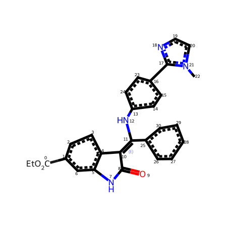 CCOC(=O)c1ccc2c(c1)NC(=O)/C2=C(/Nc1ccc(-c2nccn2C)cc1)c1ccccc1